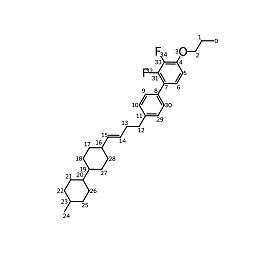 CCCOc1ccc(-c2ccc(CC/C=C/C3CCC(C4CCC(C)CC4)CC3)cc2)c(F)c1F